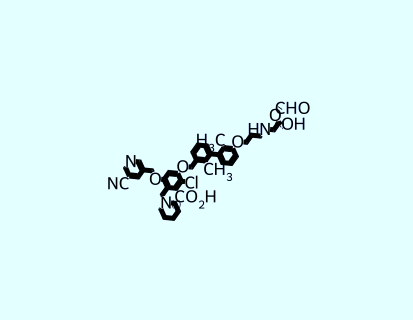 Cc1c(COc2cc(OCc3cncc(C#N)c3)c(CN3CCCC[C@H]3C(=O)O)cc2Cl)cccc1-c1cccc(OCCCNC[C@H](O)OC=O)c1C